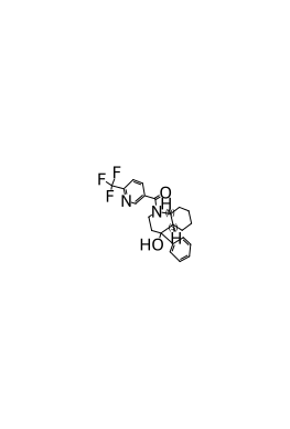 O=C(c1ccc(C(F)(F)F)nc1)N1CCC(O)(c2ccccc2)[C@H]2CCCC[C@H]21